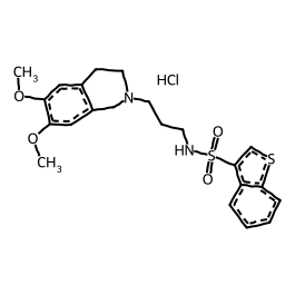 COc1cc2c(cc1OC)CN(CCCNS(=O)(=O)c1csc3ccccc13)CC2.Cl